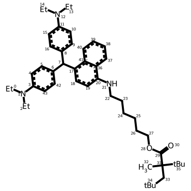 CCN(CC)c1ccc(C(c2ccc(N(CC)CC)cc2)c2ccc(NCCCCCCOC(=O)C(C)(CC(C)(C)C)C(C)(C)C)c3ccccc23)cc1